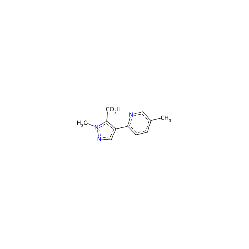 Cc1ccc(-c2cnn(C)c2C(=O)O)nc1